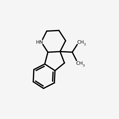 CC(C)C12CCCNC1c1ccccc1C2